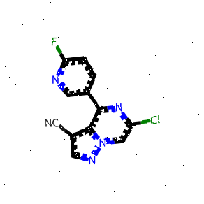 N#Cc1cnn2cc(Cl)nc(-c3ccc(F)nc3)c12